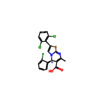 CC1=C(C(=O)O)[C@@H](c2ccccc2F)N2C=C(c3c(Cl)cccc3Cl)SC2=N1